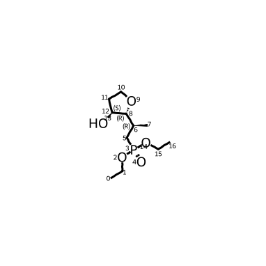 CCOP(=O)(C[C@H](C)[C@H]1OCC[C@@H]1O)OCC